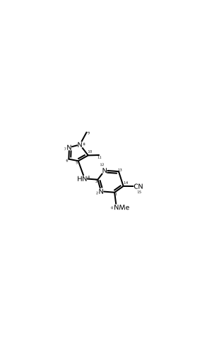 CNc1nc(Nc2cnn(C)c2C)ncc1C#N